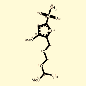 COC(C)OCOCc1sc(S(N)(=O)=O)cc1SC